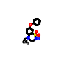 CCN1CCNS(=O)(=O)c2cc(Oc3ccccc3)ccc21